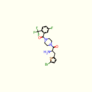 NC(Cc1ccc(Br)s1)C(=O)N1CCN(C(=O)c2cc(F)ccc2C(F)(F)F)CC1